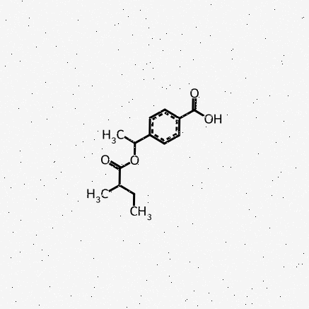 CCC(C)C(=O)OC(C)c1ccc(C(=O)O)cc1